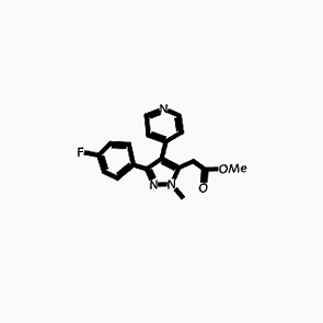 COC(=O)Cc1c(-c2ccncc2)c(-c2ccc(F)cc2)nn1C